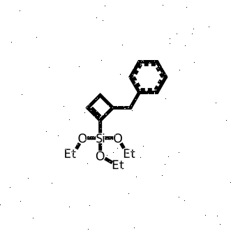 CCO[Si](OCC)(OCC)C1=CCC1Cc1ccccc1